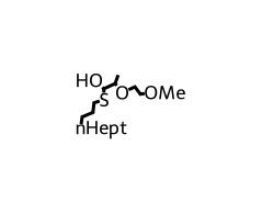 CCCCCCCCCCSC(O)C(C)OCCOC